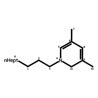 CCCCCCCCCCN1C=C(C)C=C(C)C1